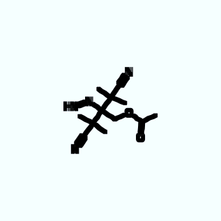 CC(=O)OCC(N=N)(C(C)(C)C#N)C(C)(C)C#N